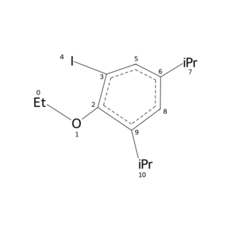 CCOc1c(I)cc(C(C)C)cc1C(C)C